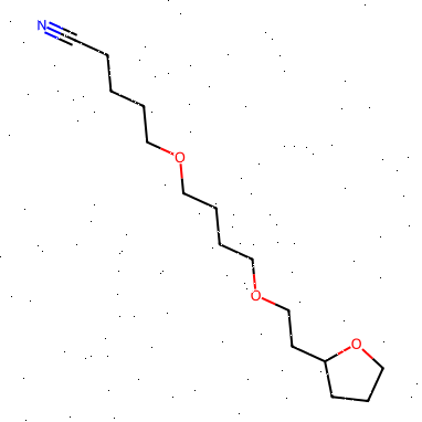 N#CCCCCOCCCCOCCC1CCCO1